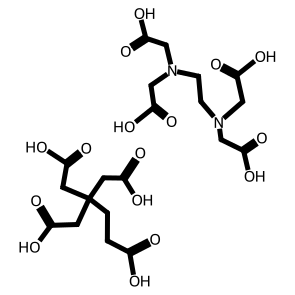 O=C(O)CCC(CC(=O)O)(CC(=O)O)CC(=O)O.O=C(O)CN(CCN(CC(=O)O)CC(=O)O)CC(=O)O